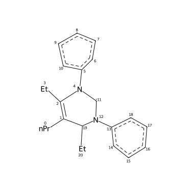 CCCC1=C(CC)N(c2ccccc2)[CH]N(c2ccccc2)C1CC